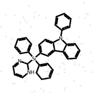 C1=CCCC([Si](c2ccccc2)(c2ccc3c(c2)c2ccccc2n3-c2ccccc2)C2N=CC=CN2)=C1